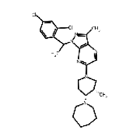 Cc1nn(C(C)c2ccc(Cl)cc2Cl)c2nc(N3CC[C@@H](N4CCCCCC4)[C@@H](C)C3)cnc12